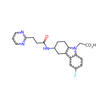 O=C(O)Cn1c2c(c3cc(F)ccc31)CC(NC(=O)CCc1ncccn1)CC2